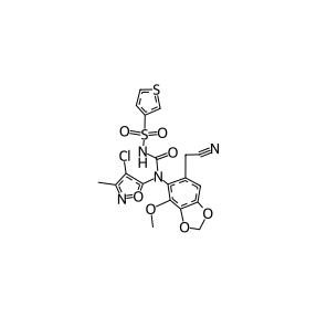 COc1c2c(cc(CC#N)c1N(C(=O)NS(=O)(=O)c1ccsc1)c1onc(C)c1Cl)OCO2